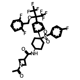 CC(=O)N1CC(C(=O)N[C@H]2CC[C@@](c3ccc(C(OCc4c(F)cccc4F)(C(F)(F)F)C(F)(F)F)cc3)(S(=O)(=O)c3ccc(F)cc3)CC2)C1